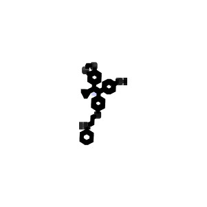 Oc1ccc(/C(=C(\c2ccc3c(c2)OCO3)C2CC2)c2ccc(OCCNC3CCCCC3)cc2)cc1